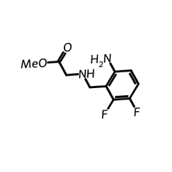 COC(=O)CNCc1c(N)ccc(F)c1F